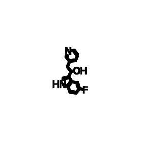 OC(Cc1cccnc1)c1c[nH]c2ccc(F)cc12